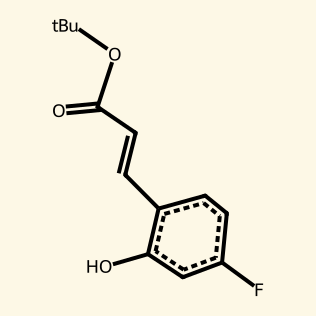 CC(C)(C)OC(=O)/C=C/c1ccc(F)cc1O